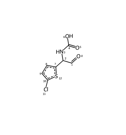 O=CC(NC(=O)O)c1ccc(Cl)s1